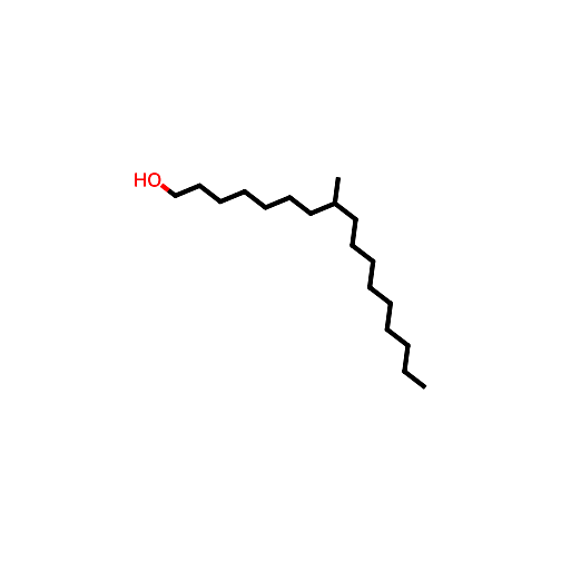 CCCCCCCCCC(C)CCCCCCCO